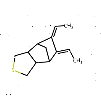 CC=C1/C(=C\C)C2CC1C1CSCC21